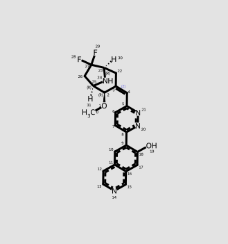 CO[C@@H]1/C(=C\c2ccc(-c3cc4ccncc4cc3O)nn2)C[C@H]2N[C@@H]1CC2(F)F